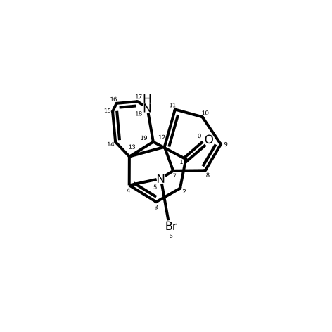 O=C1CC=C2N(Br)C3C=CCC=C3C23C=CC=CNC13